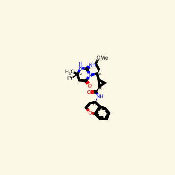 COCC[C@H](C1C[C@H]1C(=O)N[C@H]1CCOc2ccccc21)N1C(=N)N[C@](C)(C(C)C)CC1=O